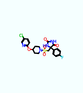 O=C1NC(=O)C(CS(=O)(=O)N2CCC(Oc3ccc(Cl)cn3)CC2)(c2ccc(F)cc2)N1